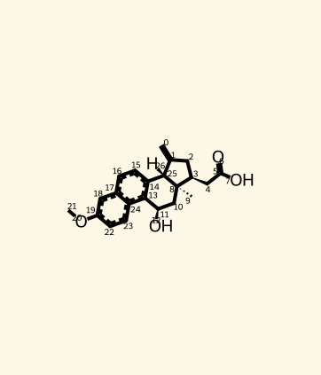 C=C1C[C@@H](CC(=O)O)[C@@]2(C)C[C@@H](O)c3c(ccc4cc(OC)ccc34)[C@H]12